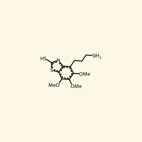 COc1c(OC)c(OC)c2sc(S)nc2c1CCC[SiH3]